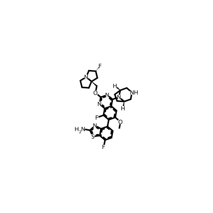 COc1cc2c(N3[C@@H]4CC[C@H]3CNC4)nc(OC[C@@]34CCCN3C[C@H](F)C4)nc2c(F)c1-c1ccc(F)c2sc(N)nc12